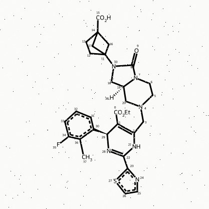 CCOC(=O)C1=C(CN2CCN3C(=O)N(C45CCC(C(=O)O)(C4)C5)C[C@@H]3C2)NC(c2nccs2)=N[C@H]1c1cccc(F)c1C